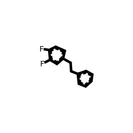 Fc1ccc(CCc2ccccc2)cc1F